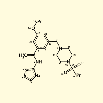 C=C(Nc1nccs1)c1cc(CN2CCN(S(=O)(=O)C(C)C)CC2)cc(OC(C)C)c1